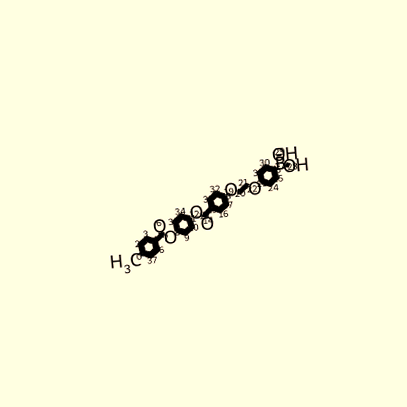 Cc1ccc(C(=O)Oc2ccc(OC(=O)c3ccc(OCCOc4ccc(B(O)O)cc4)cc3)cc2)cc1